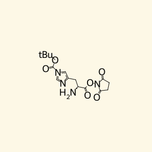 CC(C)(C)OC(=O)n1cnc(C[C@H](N)C(=O)ON2C(=O)CCC2=O)c1